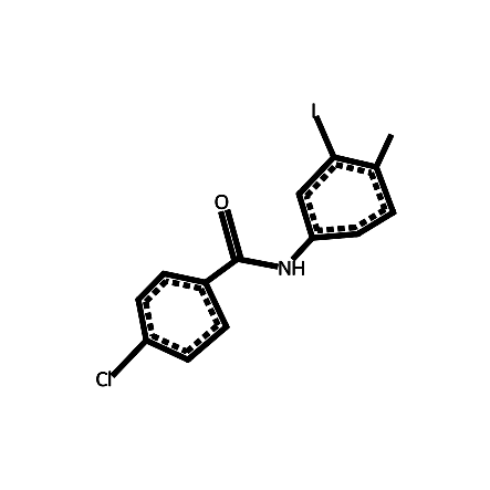 Cc1ccc(NC(=O)c2ccc(Cl)cc2)cc1I